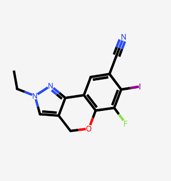 CCn1cc2c(n1)-c1cc(C#N)c(I)c(F)c1OC2